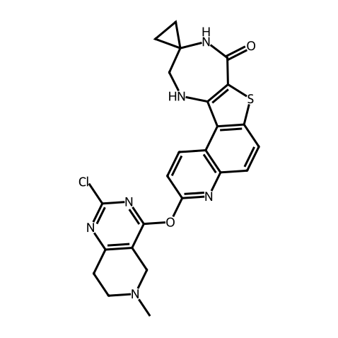 CN1CCc2nc(Cl)nc(Oc3ccc4c(ccc5sc6c(c54)NCC4(CC4)NC6=O)n3)c2C1